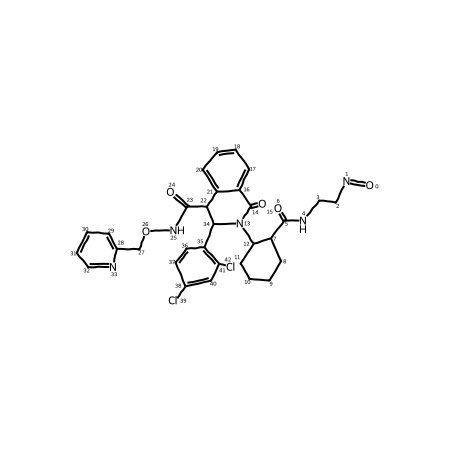 O=NCCNC(=O)C1CCCCC1N1C(=O)c2ccccc2C(C(=O)NOCc2ccccn2)C1c1ccc(Cl)cc1Cl